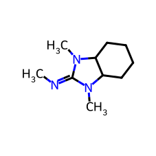 CN=C1N(C)C2CCCCC2N1C